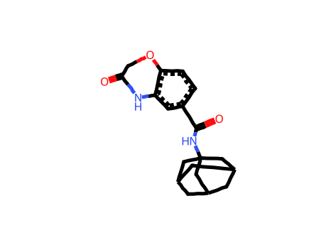 O=C1COc2ccc(C(=O)NC34CC5CC(CC(C5)C3)C4)cc2N1